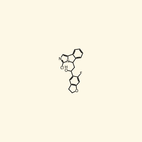 OC(CC1c2ccccc2-c2cnc(Cl)n21)c1cc2c(cc1F)OCC2